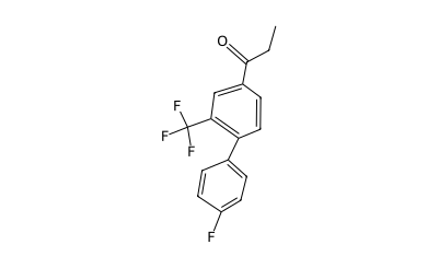 CCC(=O)c1ccc(-c2ccc(F)cc2)c(C(F)(F)F)c1